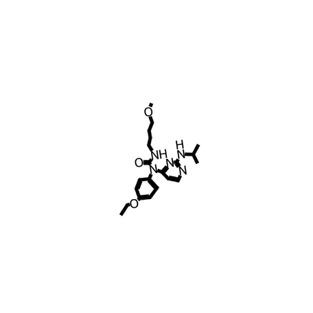 CCOc1ccc(N(C(=O)NCCCCOC)c2ccnc(NC(C)C)n2)cc1